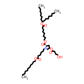 CCCCCCCCCCCOC(=O)CCCCCN1CC(OC(=O)CCCO)C[C@H]1C(=O)OCCCCCCCC(=O)OC(CCCCCCCC)CCCCCCCC